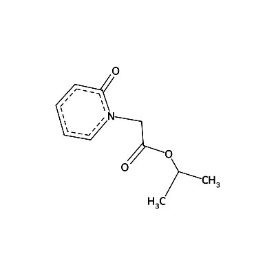 CC(C)OC(=O)Cn1ccccc1=O